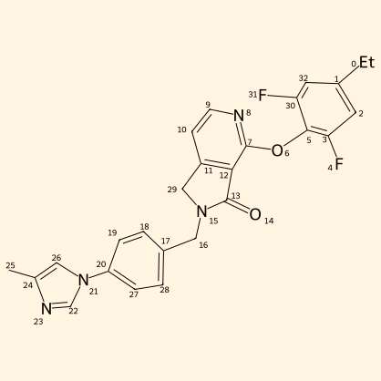 CCc1cc(F)c(Oc2nccc3c2C(=O)N(Cc2ccc(-n4cnc(C)c4)cc2)C3)c(F)c1